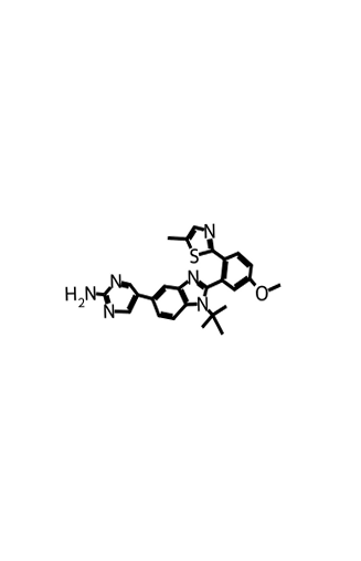 COc1ccc(-c2ncc(C)s2)c(-c2nc3cc(-c4cnc(N)nc4)ccc3n2C(C)(C)C)c1